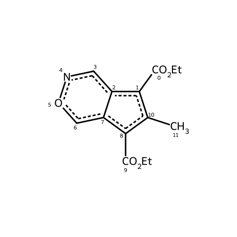 CCOC(=O)c1c2cnocc-2c(C(=O)OCC)c1C